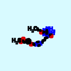 CCCCOc1nc(N)c2[nH]c(=O)n(CCCCCN3CCN(CCOc4cccc(CC(=O)OC)c4)CC3)c2n1